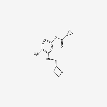 O=C(Oc1ccc([N+](=O)[O-])c(NC[C@@H]2CCO2)c1)C1CC1